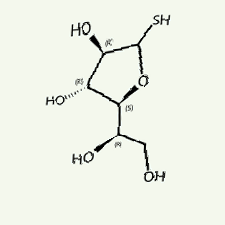 OC[C@@H](O)[C@@H]1OC(S)[C@H](O)[C@H]1O